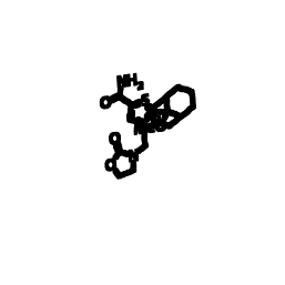 COC1(c2ccc(C(N)=O)s2)C2CCCC1CN(CCN1CCOC1=O)C2